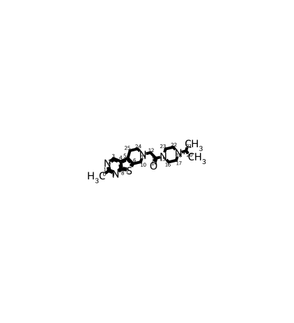 Cc1ncc2c3c(sc2n1)CN(CC(=O)N1CCN(C(C)C)CC1)CC3